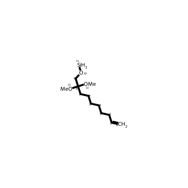 C=CCCCCCCC(CO[SiH3])(OC)OC